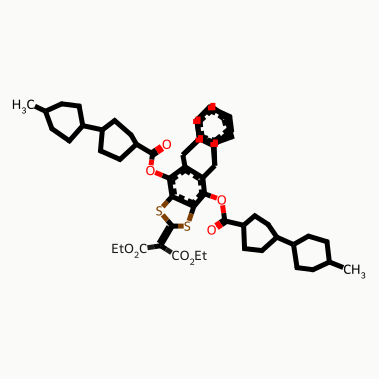 CCOC(=O)C(C(=O)OCC)=C1Sc2c(OC(=O)C3CCC(C4CCC(C)CC4)CC3)c3c(c(OC(=O)C4CCC(C5CCC(C)CC5)CC4)c2S1)C1c2ccccc2C3c2ccccc21